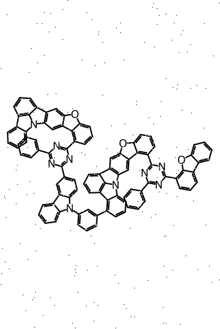 c1ccc(-c2nc(-c3ccc4c(c3)c3ccccc3n4-c3cccc(-c4cccc5c4c4cccc6c7cc8oc9cccc(-c%10nc(-c%11ccccc%11)nc(-c%11cccc%12c%11oc%11ccccc%11%12)n%10)c9c8cc7n5c64)c3)nc(-c3cccc4oc5cc6c7cccc8c9ccccc9n(c6cc5c34)c87)n2)cc1